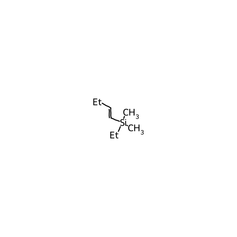 CCC=C[Si](C)(C)CC